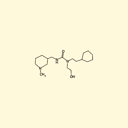 CN1CCCC(CNC(=O)N(CCO)CCC2CCCCC2)C1